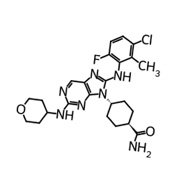 Cc1c(Cl)ccc(F)c1Nc1nc2cnc(NC3CCOCC3)nc2n1[C@H]1CC[C@H](C(N)=O)CC1